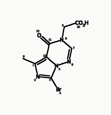 Cc1nc(Br)n2ncn(CC(=O)O)c(=O)c12